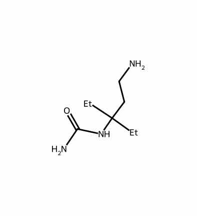 CCC(CC)(CCN)NC(N)=O